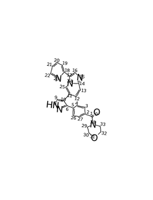 O=C(c1ccc(-c2n[nH]cc2-c2ccc3ncc(-c4ccccn4)n3c2)cc1)N1CCOCC1